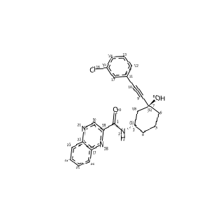 O=C(N[C@H]1CCC[C@@](O)(C#Cc2cccc(Cl)c2)C1)c1cnc2ccccc2n1